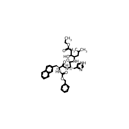 CCOC(=O)CC(O)C(CC(C)C)NC(=O)[C@H](Cc1c[nH]cn1)NC(=O)[C@H](Cc1ccc2ccccc2c1)NC(=O)OCc1ccccc1